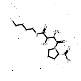 C[C@@H](C(=O)N1CCC[C@H]1C(=O)O)C(S)C(=O)OCCCCI